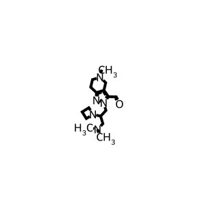 CN(C)CC(Cn1nc2c(c1C=O)CN(C)CC2)N1CCC1